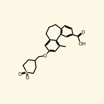 Cc1cc(OCC2CCS(=O)(=O)CC2)cc2c1-c1cc(C(=O)O)ccc1CCC2